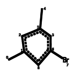 Cc1[c]c(C)cc(Br)c1